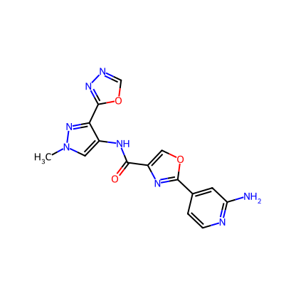 Cn1cc(NC(=O)c2coc(-c3ccnc(N)c3)n2)c(-c2nnco2)n1